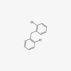 Clc1ccc[c]c1Cc1[c]cccc1Cl